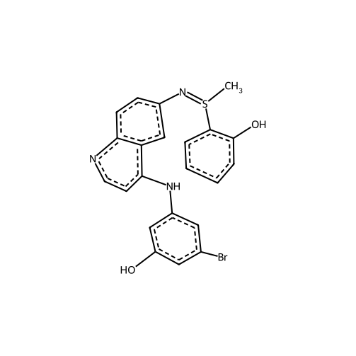 CS(=Nc1ccc2nccc(Nc3cc(O)cc(Br)c3)c2c1)c1ccccc1O